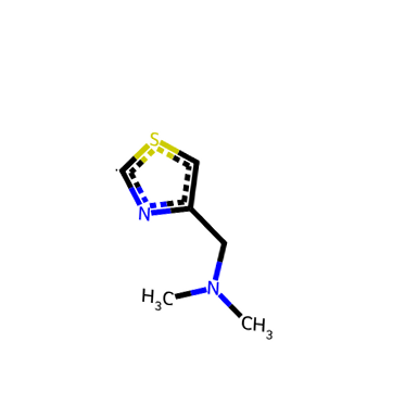 CN(C)Cc1cs[c]n1